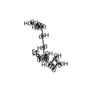 CC(C)(C)[C@H](F)[S+](c1ccc(C(=O)NC[C@@H](NC(=O)CC[C@@H](C(=O)O)N2CCN(CC(=O)[O-])CCN(CC(=O)O)CCN(CC(=O)O)CC2)C(=O)N[C@@H](CCCCNC(=O)CCCCCCC(=O)NCCCC[C@H](NC(=O)N[C@@H](CCCC(=O)O)C(=O)O)C(=O)O)C(=O)O)cc1)C(C)(C)C